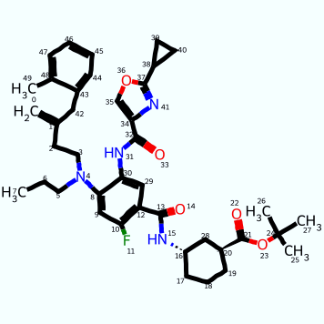 C=C(CCN(CCC)c1cc(F)c(C(=O)N[C@H]2CCC[C@H](C(=O)OC(C)(C)C)C2)cc1NC(=O)c1coc(C2CC2)n1)Cc1ccccc1C